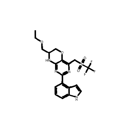 CCOCC1COc2c(CS(=O)(=O)C(F)(F)F)nc(-c3cccc4[nH]ccc34)nc2N1